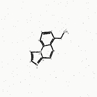 CCc1cccc2c1ccc1nccn12